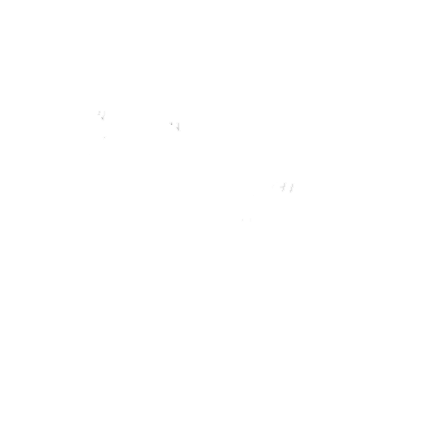 CC(O)C(=O)O.CCCCCCCCCCCCCCCCCC(N)=O.CCCN(C)C